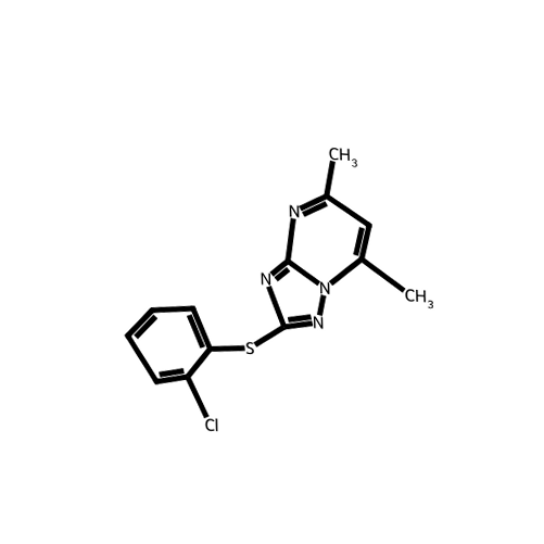 Cc1cc(C)n2nc(Sc3ccccc3Cl)nc2n1